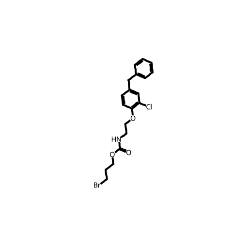 O=C(NCCOc1ccc(Cc2ccccc2)cc1Cl)OCCCBr